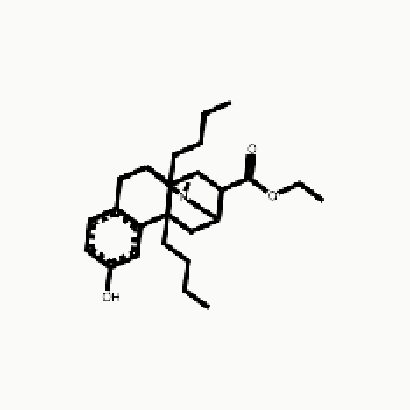 CCCCC12CC3C(C(=O)OCC)CC1(CCCC)C(Cc1ccc(O)cc12)N3C